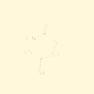 CN(NC(=N)N)C(N)=O